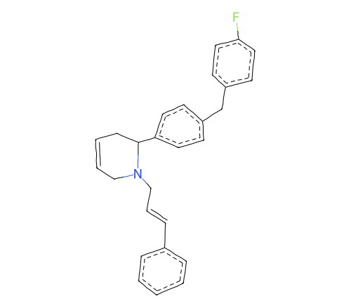 Fc1ccc(Cc2ccc(C3CC=CCN3C/C=C/c3ccccc3)cc2)cc1